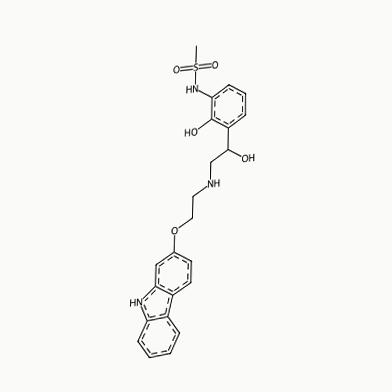 CS(=O)(=O)Nc1cccc(C(O)CNCCOc2ccc3c(c2)[nH]c2ccccc23)c1O